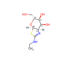 CCNC1=N[C@@H]2[C@H](O)[C@H](O)[C@@H](CO)O[C@@H]2S1